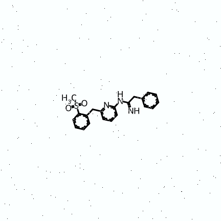 CS(=O)(=O)c1ccccc1Cc1cccc(NC(=N)Cc2ccccc2)n1